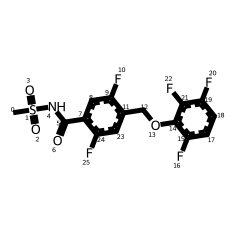 CS(=O)(=O)NC(=O)c1cc(F)c(COc2c(F)ccc(F)c2F)cc1F